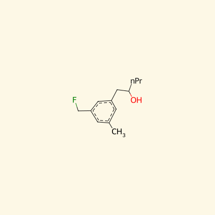 CCCC(O)Cc1cc(C)cc(CF)c1